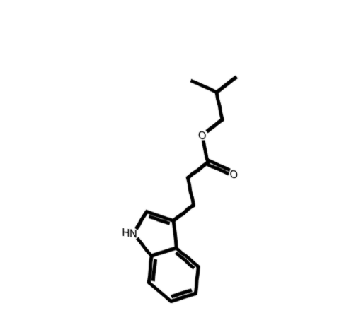 CC(C)COC(=O)CCc1c[nH]c2ccccc12